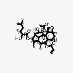 C=CC1O[C@H]2C[C@H]3OC[C@@]3(OC(C)=O)[C@H]3[C@H](C)[C@]4(C(C)(C)O)C[C@H](OC(=O)C(O)[C@@H](C)CC(C)C)C(C)=C4[C@H](C)[C@H](O1)[C@]23C